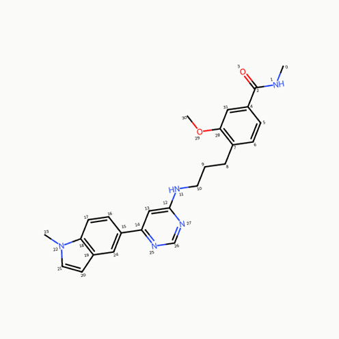 CNC(=O)c1ccc(CCCNc2cc(-c3ccc4c(ccn4C)c3)ncn2)c(OC)c1